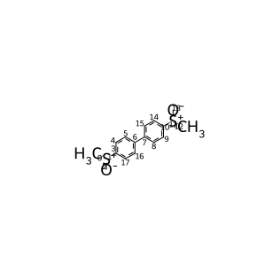 C[S+]([O-])c1ccc(-c2ccc([S+](C)[O-])cc2)cc1